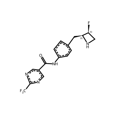 O=C(Nc1ccc(C[C@@H]2NC[C@@H]2F)cc1)c1cnc(C(F)(F)F)nc1